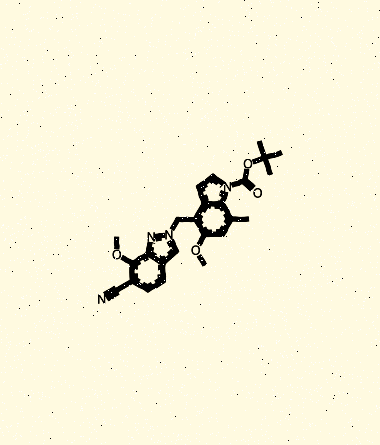 COc1cc(C)c2c(ccn2C(=O)OC(C)(C)C)c1Cn1cc2ccc(C#N)c(OC)c2n1